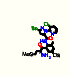 CSCC[C@H](N)C(=O)c1cc(C#N)cc(C)c1NC(=O)c1cc(Br)nn1-c1ncccc1Cl